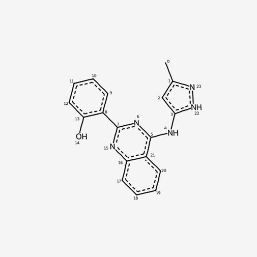 Cc1cc(Nc2nc(-c3ccccc3O)nc3ccccc23)[nH]n1